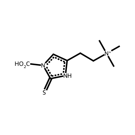 C[N+](C)(C)CCc1cn(C(=O)O)c(=S)[nH]1